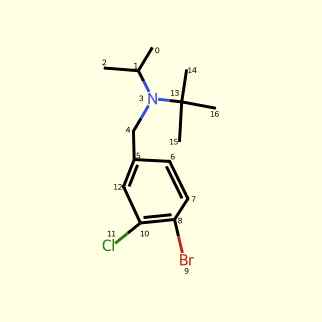 CC(C)N(Cc1ccc(Br)c(Cl)c1)C(C)(C)C